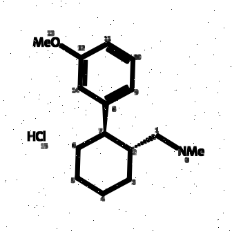 CNC[C@@H]1CCCC[C@H]1c1cccc(OC)c1.Cl